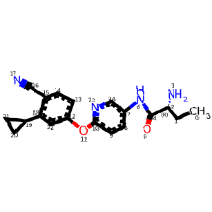 CC[C@@H](N)C(=O)Nc1ccc(Oc2ccc(C#N)c(C3CC3)c2)nc1